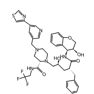 O=C(N[C@H]1c2ccccc2OC[C@H]1O)[C@H](Cc1ccccc1)C[C@H](O)CN1CCN(Cc2cncc(-c3cscn3)c2)C[C@H]1C(=O)NCC(F)(F)F